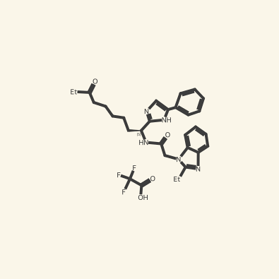 CCC(=O)CCCCC[C@H](NC(=O)Cn1c(CC)nc2ccccc21)c1ncc(-c2ccccc2)[nH]1.O=C(O)C(F)(F)F